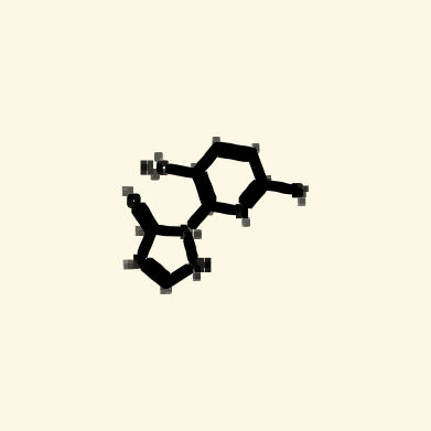 Cc1ccc(Br)nc1-n1[nH]cnc1=O